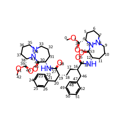 COC(=O)[C@@H]1CCCN2CCC[C@H](NC(=O)[C@H](CC[C@H](Cc3ccccc3)C(=O)N[C@H]3CCCN4CCC[C@@H](C(=O)OC)N4C3=O)Cc3ccccc3)C(=O)N12